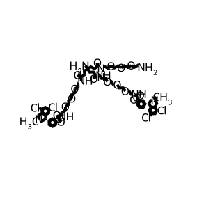 CN1Cc2c(Cl)cc(Cl)cc2[C@H](c2cccc(S(=O)(=O)NCCOCCOCCOCCNC(=O)CCC(N)(CCC(=O)NCCOCCOCCOCCN)CCC(=O)NCCOCCOCCOCCNS(=O)(=O)c3cccc([C@@H]4CN(C)Cc5c(Cl)cc(Cl)cc54)c3)c2)C1